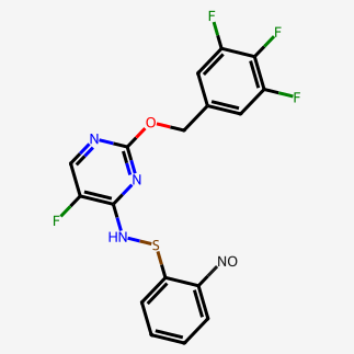 O=Nc1ccccc1SNc1nc(OCc2cc(F)c(F)c(F)c2)ncc1F